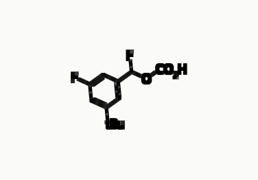 CC(C)(C)c1cc(F)cc(C(F)OC(=O)O)c1